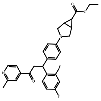 CCOC(=O)C1C2CN(c3ccc(C(CC(=O)c4ccnc(C)c4)c4ccc(F)cc4F)cc3)CC21